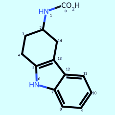 O=C(O)NC1CCc2[nH]c3ccccc3c2C1